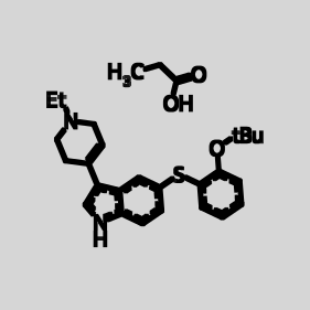 CCC(=O)O.CCN1CC=C(c2c[nH]c3ccc(Sc4ccccc4OC(C)(C)C)cc23)CC1